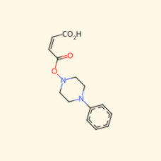 O=C(O)/C=C\C(=O)ON1CCN(c2ccccc2)CC1